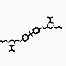 C=CCOCC(COc1ccc(C(C)(C)c2ccc(OCC(COCC=C)OC(=O)C(=C)C)cc2)cc1)OC(=O)C(=C)C